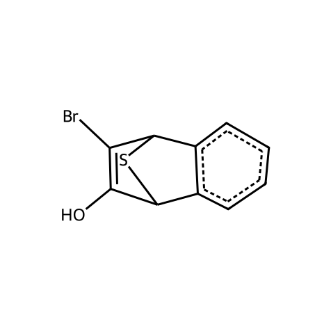 OC1=C(Br)C2SC1c1ccccc12